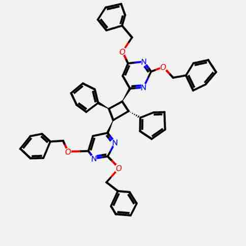 c1ccc(COc2cc([C@H]3[C@H](c4ccccc4)[C@@H](c4cc(OCc5ccccc5)nc(OCc5ccccc5)n4)[C@H]3c3ccccc3)nc(OCc3ccccc3)n2)cc1